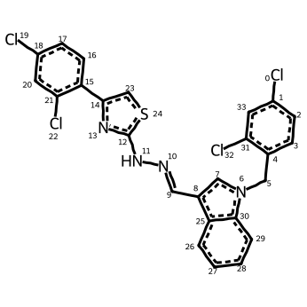 Clc1ccc(Cn2cc(C=NNc3nc(-c4ccc(Cl)cc4Cl)cs3)c3ccccc32)c(Cl)c1